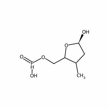 CC1C[C@H](O)OC1CO[PH](=O)O